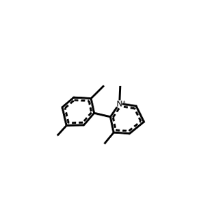 Cc1ccc(C)c(-c2c(C)ccc[n+]2C)c1